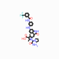 Cc1c(C(=O)O)c(C)n(C(C(N)=O)N2CCCC2)c1C=C1C(=O)Nc2cc(Nc3cccc(NC(=O)c4cccc(C(F)(F)F)c4)c3)ccc21